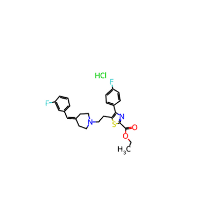 CCOC(=O)c1nc(-c2ccc(F)cc2)c(CCN2CCC(=Cc3cccc(F)c3)CC2)s1.Cl